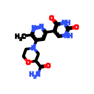 Cc1nnc(-c2c[nH]c(=O)[nH]c2=O)cc1N1CCOC(C(N)=O)C1